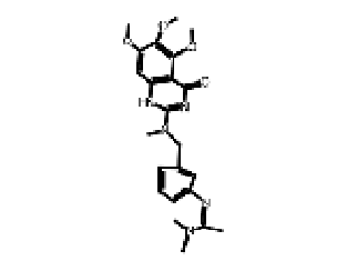 COc1cc2[nH]c(N(C)Cc3cccc(N=C(C)N(C)C)c3)nc(=O)c2c(OC)c1OC